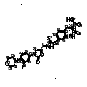 O=C1O[C@@H](CNC(=S)Sc2ccc(CC([PH](=O)O)[PH](=O)O)cc2)CN1c1ccc(N2CCOCC2)c(F)c1